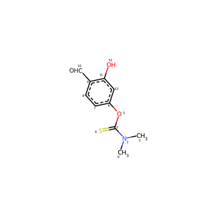 CN(C)C(=S)Oc1ccc(C=O)c(O)c1